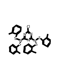 Cc1ccccc1SN(Sc1ccccc1C)c1nc(Cl)nc(N(Sc2ccccc2C)Sc2ccccc2C)n1